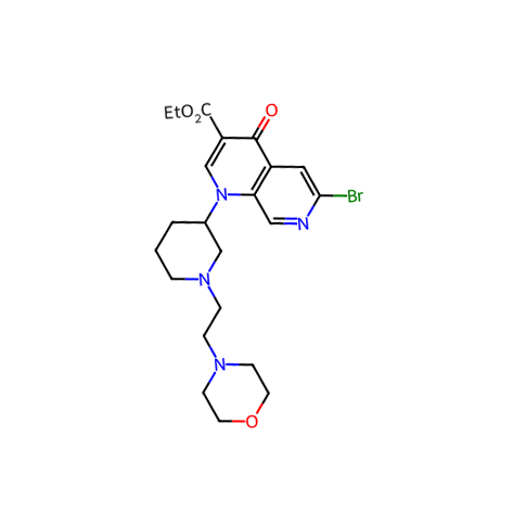 CCOC(=O)c1cn(C2CCCN(CCN3CCOCC3)C2)c2cnc(Br)cc2c1=O